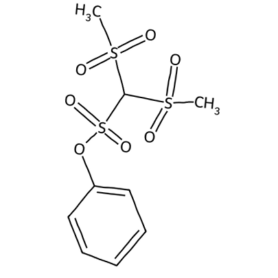 CS(=O)(=O)C(S(C)(=O)=O)S(=O)(=O)Oc1ccccc1